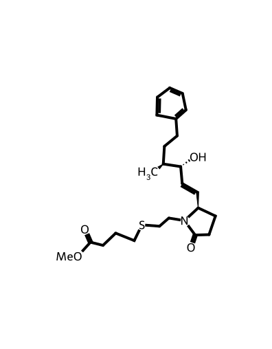 COC(=O)CCCSCCN1C(=O)CC[C@@H]1C=C[C@@H](O)[C@@H](C)CCc1ccccc1